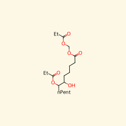 CCCCCC(OC(=O)CC)C(O)CCCCC(=O)OCOC(=O)CC